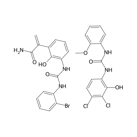 C=C(C(N)=O)c1cccc(NC(=O)Nc2ccccc2Br)c1O.COc1ccccc1NC(=O)Nc1ccc(Cl)c(Cl)c1O